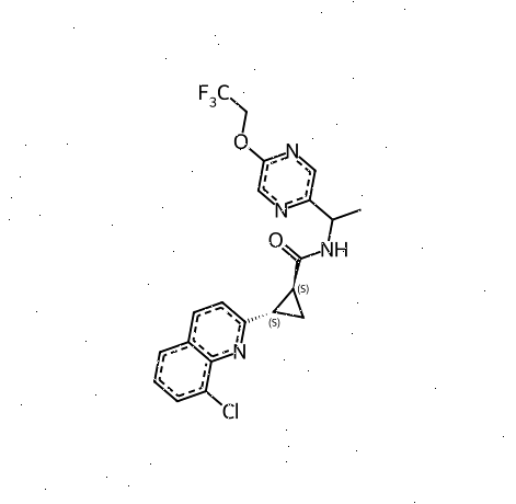 CC(NC(=O)[C@H]1C[C@@H]1c1ccc2cccc(Cl)c2n1)c1cnc(OCC(F)(F)F)cn1